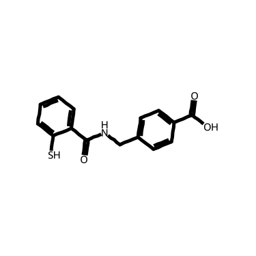 O=C(O)c1ccc(CNC(=O)c2ccccc2S)cc1